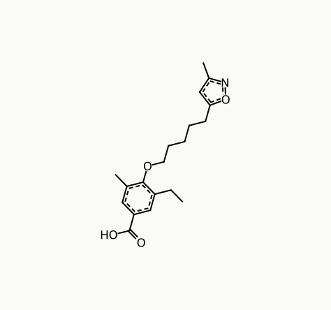 CCc1cc(C(=O)O)cc(C)c1OCCCCCc1cc(C)no1